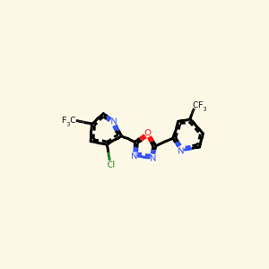 FC(F)(F)c1ccnc(-c2nnc(-c3ncc(C(F)(F)F)cc3Cl)o2)c1